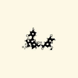 COc1cc(C(=O)NCC(O)(c2cc3c(c(-c4ccc(F)cc4Cl)n2)OC[C@]3(C)C(N)=O)C2(F)CC2)cc2cc(Cl)c(C)nc12